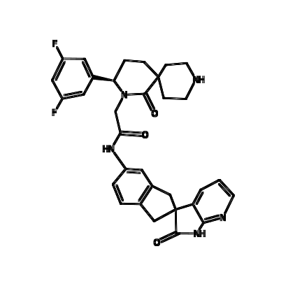 O=C(CN1C(=O)C2(CCNCC2)CC[C@@H]1c1cc(F)cc(F)c1)Nc1ccc2c(c1)CC1(C2)C(=O)Nc2ncccc21